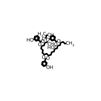 CCCC1CC(CC(O)CCCC2CC(CCCC3CC(CC)OC(c4cccc(O)c4)O3)OC(c3cccc(O)c3)O2)OC(c2cccc(O[C@@H](C)C(C)C)c2)O1